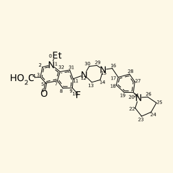 CCn1cc(C(=O)O)c(=O)c2cc(F)c(N3CCN(Cc4ccc(N5CCCCC5)cc4)CC3)cc21